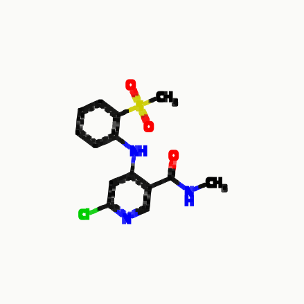 CNC(=O)c1cnc(Cl)cc1Nc1ccccc1S(C)(=O)=O